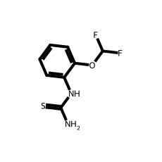 NC(=S)Nc1ccccc1OC(F)F